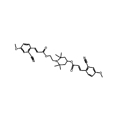 COc1ccc(C=CC(=O)OCCN2C(C)(C)CC(OC(=O)C=Cc3ccc(OC)cc3C#N)CC2(C)C)c(C#N)c1